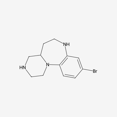 Brc1ccc2c(c1)NCCC1CNCCN21